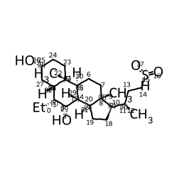 CC[C@H]1[C@@H](O)[C@@H]2[C@H](CC[C@]3(C)[C@@H]([C@H](C)CC[SH](=O)=O)CC[C@@H]23)[C@@]2(C)CC[C@@H](O)C[C@@H]12